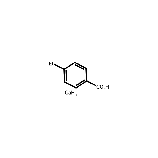 CCc1ccc(C(=O)O)cc1.[GaH3]